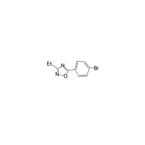 CCc1noc(-c2ccc(Br)cc2)n1